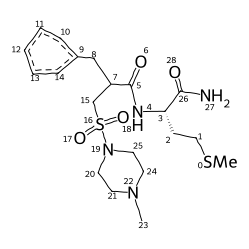 CSCC[C@H](NC(=O)C(Cc1ccccc1)CS(=O)(=O)N1CCN(C)CC1)C(N)=O